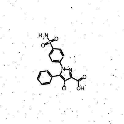 NS(=O)(=O)c1ccc(-n2nc(C(=O)O)c(Cl)c2-c2ccccc2)cc1